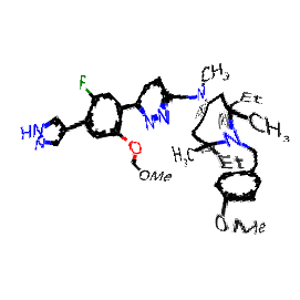 CC[C@@]1(C)C[C@H](N(C)c2ccc(-c3cc(F)c(-c4cn[nH]c4)cc3OCOC)nn2)C[C@@](C)(CC)N1Cc1ccc(OC)cc1